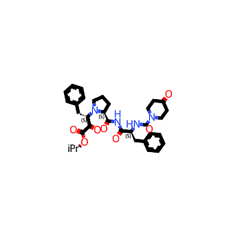 CC(C)OC(=O)C(=O)[C@H](Cc1ccccc1)N1CCC[C@H]1C(=O)NC(=O)[C@H](Cc1ccccc1)NC(=O)N1CCC(=O)CC1